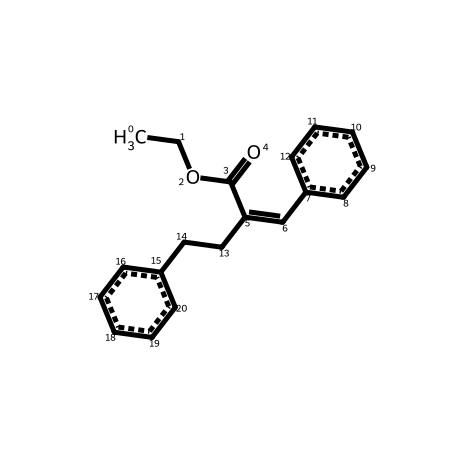 CCOC(=O)C(=Cc1ccccc1)CCc1ccccc1